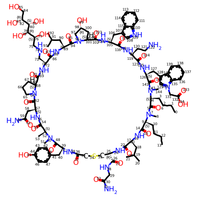 CCCC[C@H]1C(=O)N(C)[C@@H](CCCC)C(=O)N[C@@H](CC(C)C)C(=O)N[C@H](C(=O)NCC(N)=O)CSCC(=O)N[C@@H](Cc2ccc(O)cc2)C(=O)N(C)[C@@H](C)C(=O)N[C@@H](CC(N)=O)C(=O)N2CCC[C@H]2C(=O)N[C@@H](CNC[C@H](O)[C@@H](O)[C@@H](O)[C@H](O)CO)C(=O)N[C@@H](CC(C)C)C(=O)N2C[C@H](O)C[C@H]2C(=O)N[C@@H](Cc2c[nH]c3ccccc23)C(=O)N[C@@H](CCN)C(=O)N[C@@H](Cc2cn(CC(=O)O)c3ccccc23)C(=O)N1C